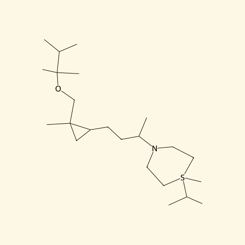 CC(CCC1CC1(C)COC(C)(C)C(C)C)N1CCS(C)(C(C)C)CC1